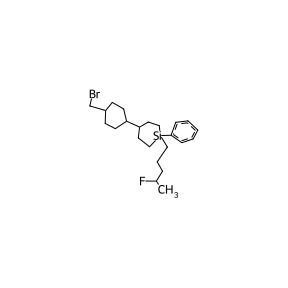 CC(F)CCC[Si]1(c2ccccc2)CCC(C2CCC(CBr)CC2)CC1